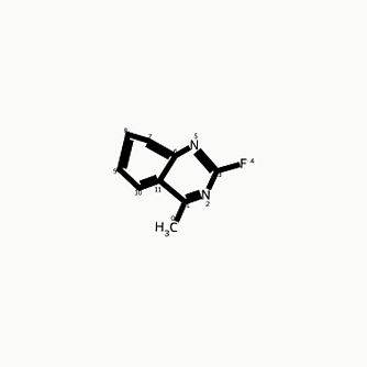 Cc1nc(F)nc2ccccc12